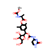 Cc1cc(C(OC(=O)Nc2cc[nH]c(=O)n2)C2OC(CO)C(O)C2O)cc(C)c1OC(=O)C(C)NC(=O)OC(C)(C)C